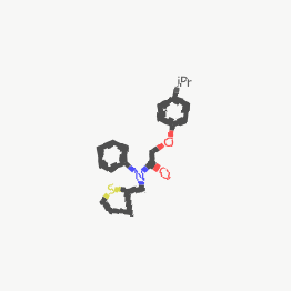 CC(C)c1ccc(OCC(=O)N(CC2CCCS2)c2ccccc2)cc1